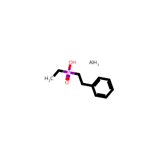 CCP(=O)(O)CCc1ccccc1.[AlH3]